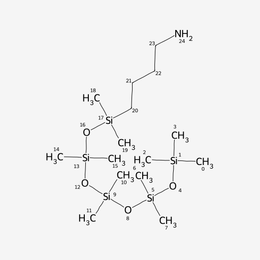 C[Si](C)(C)O[Si](C)(C)O[Si](C)(C)O[Si](C)(C)O[Si](C)(C)CCCCN